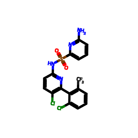 Nc1cccc(S(=O)(=O)Nc2ccc(Cl)c(-c3c(Cl)cccc3C(F)(F)F)n2)n1